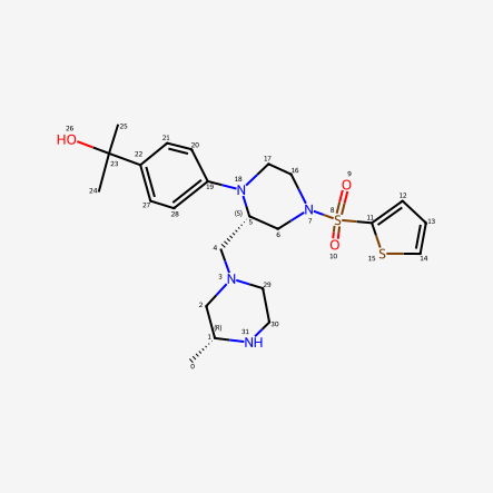 C[C@@H]1CN(C[C@H]2CN(S(=O)(=O)c3cccs3)CCN2c2ccc(C(C)(C)O)cc2)CCN1